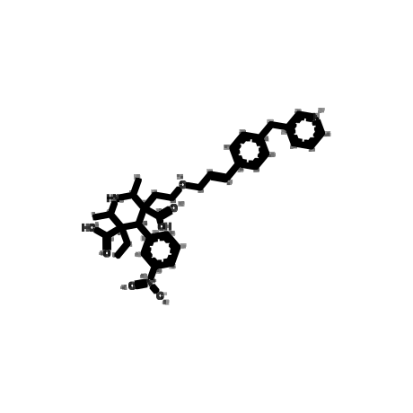 CCC1(C(=O)O)C(C)NC(C)C(CCOCC=Cc2ccc(Cc3cccnc3)cc2)(C(=O)O)C1c1cccc([N+](=O)[O-])c1